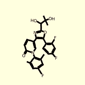 Cc1cc(F)cc(C)c1-n1cc(-c2nc(C(O)C(C)(C)O)oc2-c2ccc(F)cc2F)ccc1=O